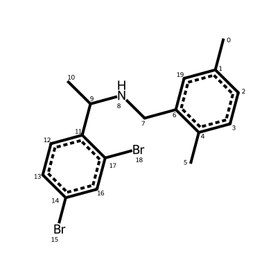 Cc1ccc(C)c(CNC(C)c2ccc(Br)cc2Br)c1